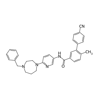 Cc1ccc(C(=O)Nc2ccc(N3CCCN(Cc4ccccc4)CC3)nc2)cc1-c1ccc(C#N)cc1